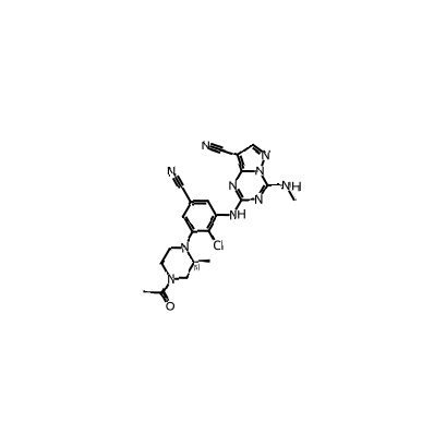 CNc1nc(Nc2cc(C#N)cc(N3CCN(C(C)=O)C[C@@H]3C)c2Cl)nc2c(C#N)cnn12